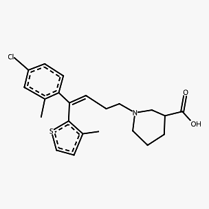 Cc1cc(Cl)ccc1C(=CCCN1CCCC(C(=O)O)C1)c1sccc1C